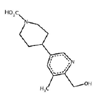 Cc1cc(C2CCN(C(=O)O)CC2)cnc1CO